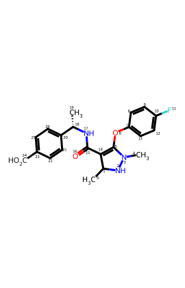 CC1NN(C)C(Oc2ccc(F)cc2)=C1C(=O)N[C@@H](C)c1ccc(C(=O)O)cc1